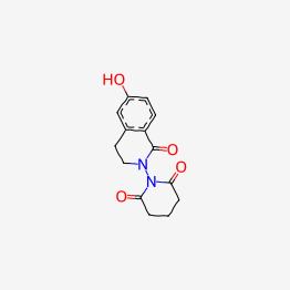 O=C1c2ccc(O)cc2CCN1N1C(=O)CCCC1=O